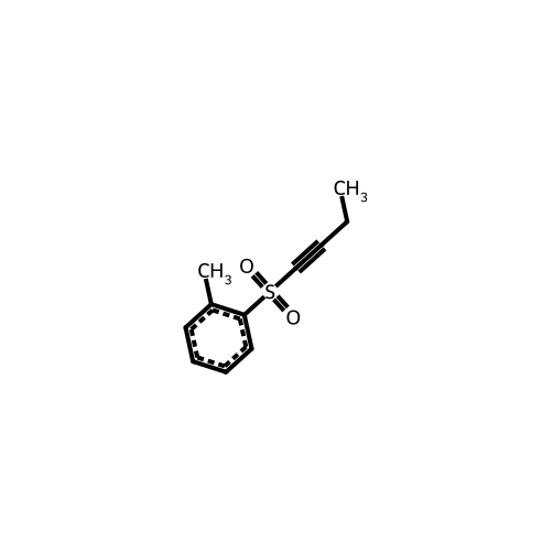 CCC#CS(=O)(=O)c1ccccc1C